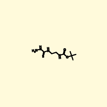 CC(C)(C)OC(=O)NCCNC(=S)NN